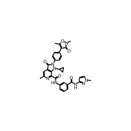 Cc1cc2c(=O)n(-c3ccc(-c4c(C)on(C)c4=O)cc3)n(C3CC3)c2c(C(=O)Nc2cccc(C(=O)Nc3ccn(C)n3)c2)n1